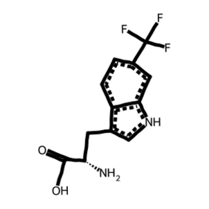 N[C@@H](Cc1c[nH]c2cc(C(F)(F)F)ccc12)C(=O)O